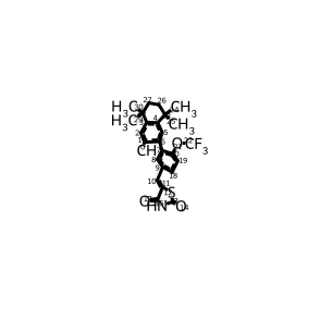 Cc1cc2c(cc1-c1cc(/C=C3\SC(=O)NC3=O)ccc1OC(F)(F)F)C(C)(C)CCC2(C)C